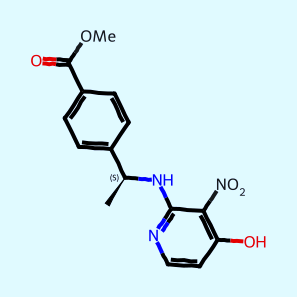 COC(=O)c1ccc([C@H](C)Nc2nccc(O)c2[N+](=O)[O-])cc1